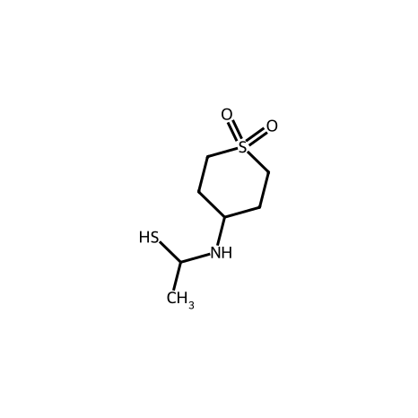 CC(S)NC1CCS(=O)(=O)CC1